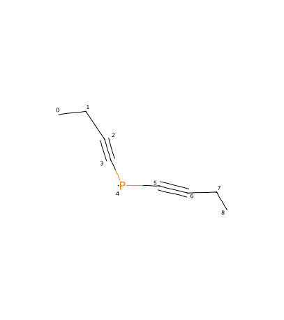 CCC#C[P]C#CCC